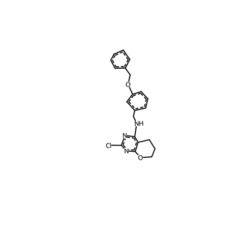 Clc1nc(NCc2cccc(OCc3ccccc3)c2)c2c(n1)OCCC2